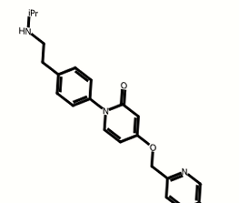 CC(C)NCCc1ccc(-n2ccc(OCc3ccc(Cl)cn3)cc2=O)cc1